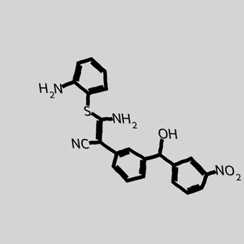 N#C/C(=C(/N)Sc1ccccc1N)c1cccc(C(O)c2cccc([N+](=O)[O-])c2)c1